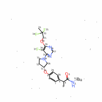 CC[C@@H](C)NC(=O)C(C)c1ccc(O[C@@H]2CCN(c3ncnc(OCC(C)(F)F)c3F)C2)cc1